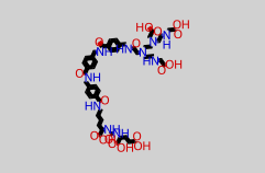 O=C(O)CCC(NC(=O)NC(CCCCNC(=O)c1ccc(CNC(=O)c2ccc(CNC(=O)c3ccc(CNC(=O)CN(CCNCC(=O)O)CCN(CCNCC(=O)O)CC(=O)O)cc3)cc2)cc1)C(=O)O)C(=O)O